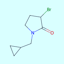 O=C1C(Br)CCN1CC1CC1